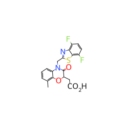 Cc1cccc2c1OC(CC(=O)O)C(=O)N2Cc1nc2c(F)ccc(F)c2s1